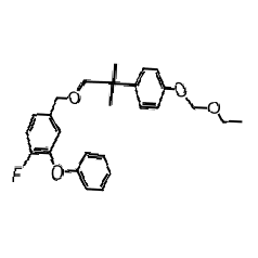 CCOCOc1ccc(C(C)(C)COCc2ccc(F)c(Oc3ccccc3)c2)cc1